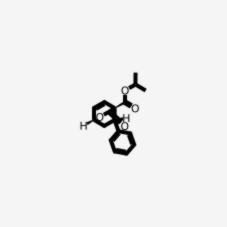 CC(C)OC(=O)[C@@]12C=C[C@@H](C[C@H]1c1ccccc1)OC2=O